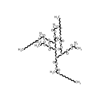 CCCCCCCCCCCCSCC(C)C(=O)OCCOC(=O)CCN(CCCCN(CCCN(CCC(=O)OCCOC(=O)C(C)CC)CCC(=O)OCCOC(=O)C(C)CSCCCCCCCCCCCC)CCC(=O)OCCOC(=O)C(C)CC)CCCN(CCC(=O)OCCOC(=O)C(C)CC)CCC(=O)OCCOC(=O)C(C)CSCCCCCCCCCCCC